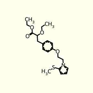 CCOC(=O)C(Cc1ccc(OCCn2cccc2SC)cc1)OCC